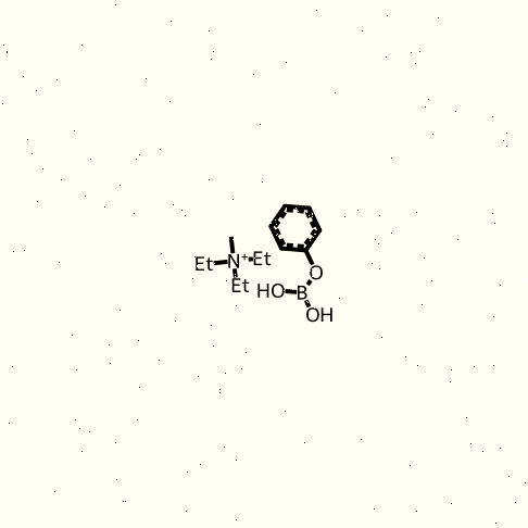 CC[N+](C)(CC)CC.OB(O)Oc1ccccc1